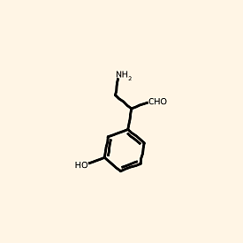 NCC(C=O)c1cccc(O)c1